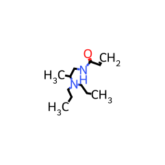 C=CC(=O)NCC(C)N(CCC)CCC